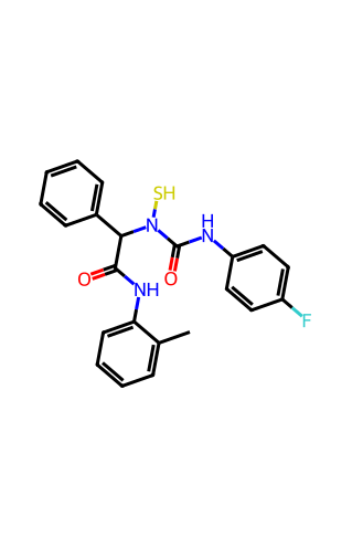 Cc1ccccc1NC(=O)C(c1ccccc1)N(S)C(=O)Nc1ccc(F)cc1